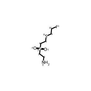 NCCS(=O)(=O)CCSCCI